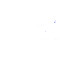 Cc1c(C(N)=O)n(C)c2c(-c3ccc(Cl)cc3)cc(F)cc12